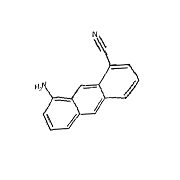 N#Cc1cccc2cc3cccc(N)c3cc12